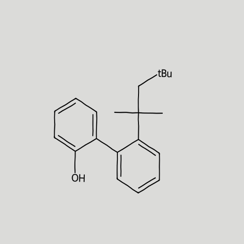 CC(C)(C)CC(C)(C)c1ccccc1-c1ccccc1O